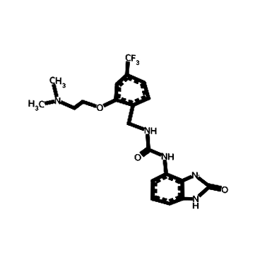 CN(C)CCOc1cc(C(F)(F)F)ccc1CNC(=O)Nc1cccc2c1[N]C(=O)N2